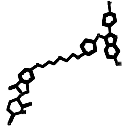 O=C1CCC(N2Cc3cc(OCCCOCCOc4ccc(Oc5c(-c6ccc(Br)cc6)sc6cc(O)ccc56)cc4)ccc3C2=O)C(=O)N1